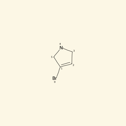 BrC1=CC[N]C1